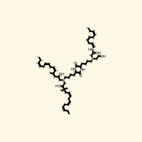 CC/C=C\C/C=C\C/C=C\CC(C)(C)C(O)CN(CCCCC1NC(=O)C(CCCCN(CCO)CC(O)N/C=C\C/C=C\C/C=C\CC)NC1=O)CC(O)CC(C)/C=C\C/C=C\C/C=C\CC